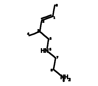 C/C=C/C(C)CNCCN